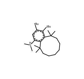 C[SH](C)c1cc(C(C)(C)C)c(C(C)(C)C)c2c1C(C)(C)CCCCCCC2(C)C